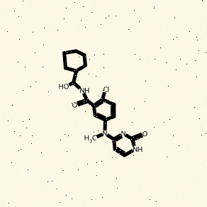 CN(c1ccc(Cl)c(C(=O)NC(O)C2CCCCC2)c1)c1cc[nH]c(=O)n1